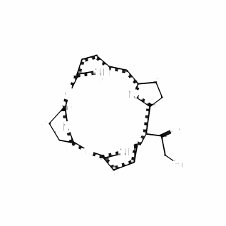 O=C(CBr)c1c2nc(cc3ccc(cc4nc(cc5ccc1[nH]5)CC4)[nH]3)CC2